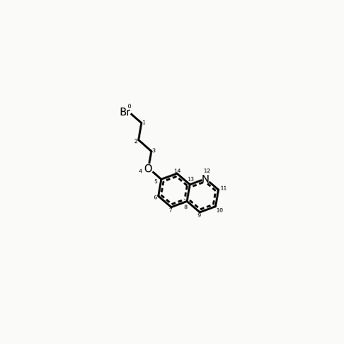 BrCCCOc1ccc2cccnc2c1